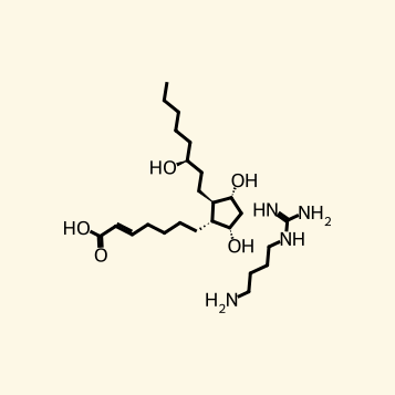 CCCCC[C@H](O)CC[C@@H]1[C@@H](CCCCC=CC(=O)O)[C@@H](O)C[C@H]1O.N=C(N)NCCCCN